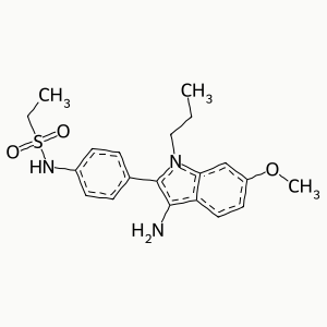 CCCn1c(-c2ccc(NS(=O)(=O)CC)cc2)c(N)c2ccc(OC)cc21